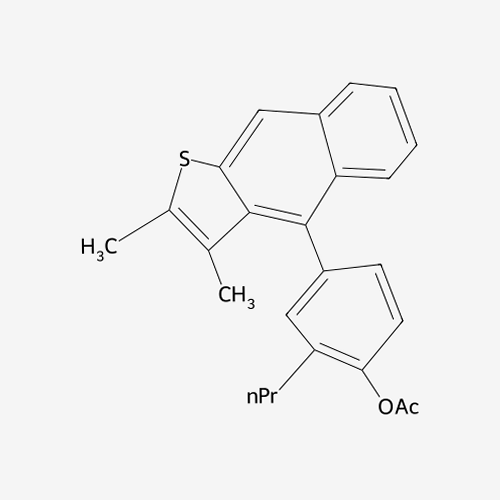 CCCc1cc(-c2c3ccccc3cc3sc(C)c(C)c23)ccc1OC(C)=O